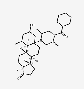 CC1CN(C23CC[C@H]4[C@@H]5CCC(=O)[C@@]5(C)CC[C@@H]4[C@@]2(C)C(C)CC(O)C3)C(C)CN1C(=O)C1CCCCC1